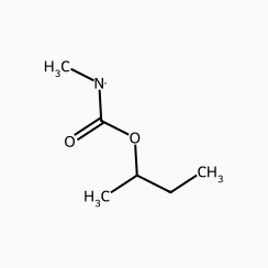 CCC(C)OC(=O)[N]C